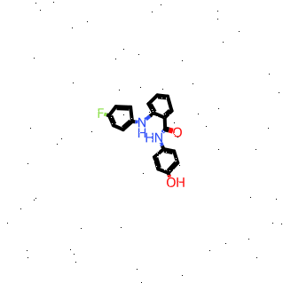 O=C(Nc1ccc(O)cc1)c1ccccc1Nc1ccc(F)cc1